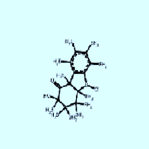 Bc1c(B)c(B)c2c(c1B)B(Cl)C1(B)C2(N)C(=O)C(B)(O)C(B)(B)C1(B)B